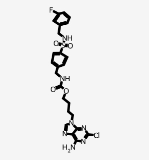 Nc1nc(Cl)nc2c1ncn2CCCCOC(=O)NCc1ccc(S(=O)(=O)NCc2cccc(F)c2)cc1